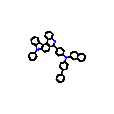 c1ccc(-c2ccc(N(c3ccc(-c4nc5ccccc5c5c4ccc4c5c5ccccc5n4-c4ccccc4)cc3)c3ccc4ccccc4c3)cc2)cc1